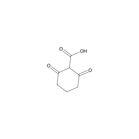 O=C(O)C1C(=O)CCCC1=O